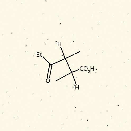 [2H]C(C)(C(=O)O)C([2H])(C)C(=O)CC